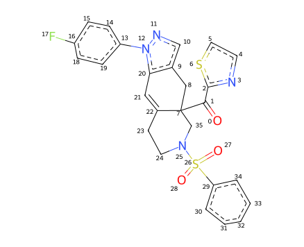 O=C(c1nccs1)C12Cc3cnn(-c4ccc(F)cc4)c3C=C1CCN(S(=O)(=O)c1ccccc1)C2